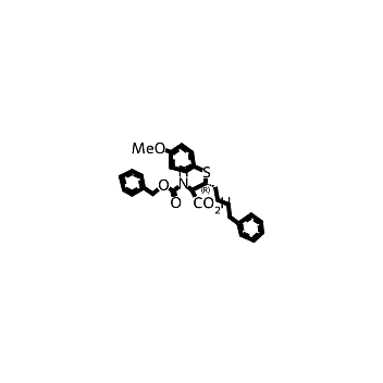 COc1ccc(S[C@H](CCCCc2ccccc2)C(NC(=O)OCc2ccccc2)C(=O)O)cc1